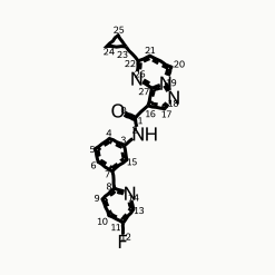 O=C(Nc1cccc(-c2ccc(F)cn2)c1)c1cnn2ccc(C3CC3)nc12